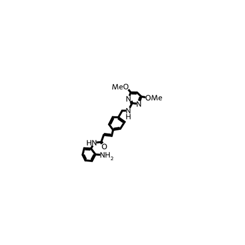 COc1cc(OC)nc(NCc2ccc(/C=C/C(=O)Nc3ccccc3N)cc2)n1